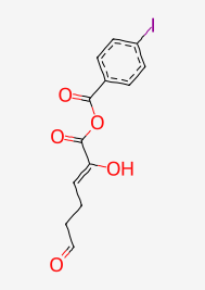 O=CCCC=C(O)C(=O)OC(=O)c1ccc(I)cc1